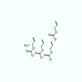 C=CCOC(=O)[O-].C=CCOC(=O)[O-].C=CCOC(=O)[O-].C=CCOC(=O)[O-].[Pu+4]